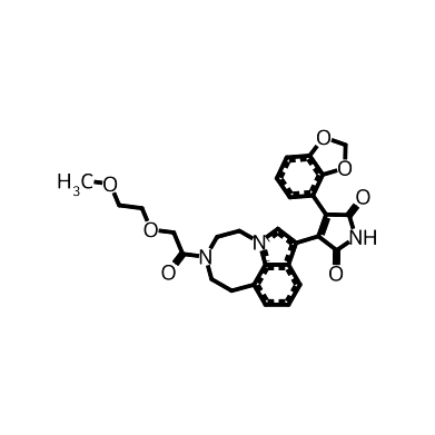 COCCOCC(=O)N1CCc2cccc3c(C4=C(c5cccc6c5OCO6)C(=O)NC4=O)cn(c23)CC1